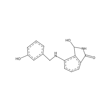 O=C1NC(O)c2c(NCc3cccc(O)c3)cccc21